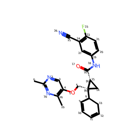 Cc1ncc(OC[C@@]2(C3C=CC=CC3)C[C@H]2C(=O)Nc2ccc(F)c(C#N)c2)c(C)n1